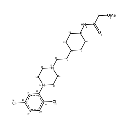 COCC(=O)NC1CCC(CCN2CCN(c3cc(Cl)ncc3Cl)CC2)CC1